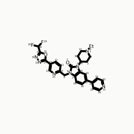 CCN1CCC(n2c(=O)n(Cc3ccc(-c4nnc(C(F)F)o4)cn3)c3ccc(-c4ccncc4)cc32)CC1